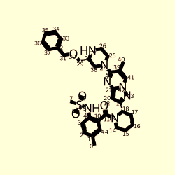 Cc1ccc(NS(C)(=O)=O)c(C(=O)N2CCCC[C@H]2c2cc3nc(N4CCN[C@@H](COCc5ccccc5)C4)c(C)cn3n2)c1